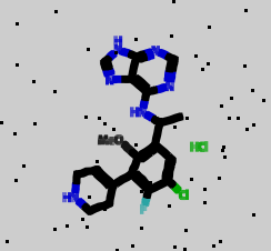 COc1c(C(C)Nc2ncnc3[nH]cnc23)cc(Cl)c(F)c1C1=CCNCC1.Cl